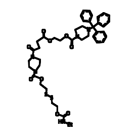 CCNC(=O)OCCSSCCOC(=O)N1CCN(C(=O)CCC(=O)OCCOC(=O)N2CCN(C(c3ccccc3)(c3ccccc3)c3ccccc3)CC2)CC1